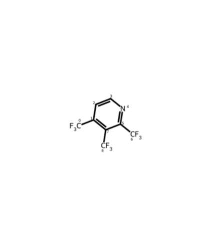 FC(F)(F)c1ccnc(C(F)(F)F)c1C(F)(F)F